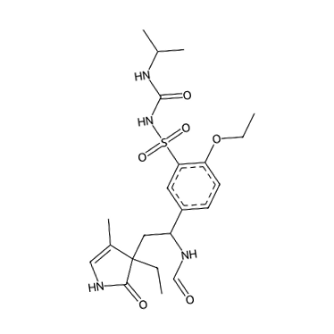 CCOc1ccc(C(CC2(CC)C(=O)NC=C2C)NC=O)cc1S(=O)(=O)NC(=O)NC(C)C